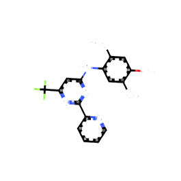 Cc1cc(Nc2cc(C(F)(F)F)nc(-c3ccccn3)n2)c(C)cc1O